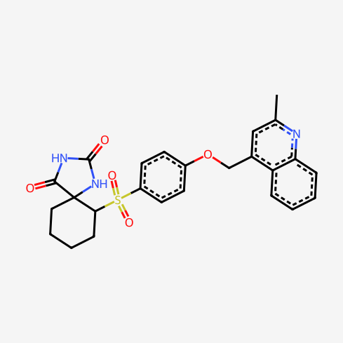 Cc1cc(COc2ccc(S(=O)(=O)C3CCCCC34NC(=O)NC4=O)cc2)c2ccccc2n1